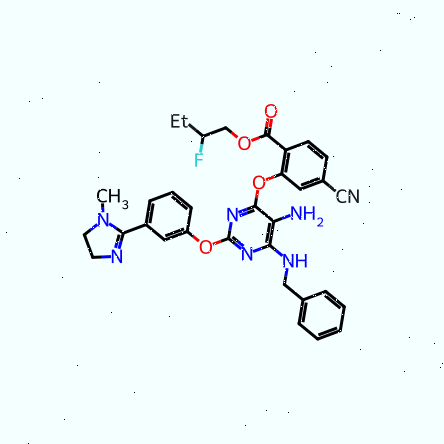 CCC(F)COC(=O)c1ccc(C#N)cc1Oc1nc(Oc2cccc(C3=NCCN3C)c2)nc(NCc2ccccc2)c1N